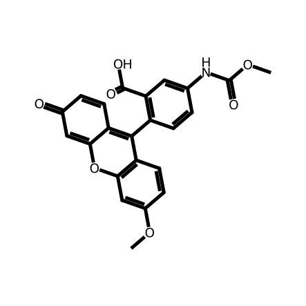 COC(=O)Nc1ccc(-c2c3ccc(=O)cc-3oc3cc(OC)ccc23)c(C(=O)O)c1